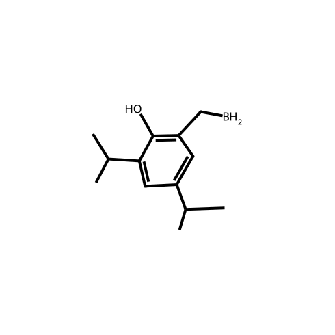 BCc1cc(C(C)C)cc(C(C)C)c1O